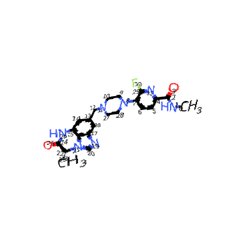 CNC(=O)c1ccc(N2CCN(Cc3cc4c5c(c3)ncn5[C@H](C)C(=O)N4)CC2)c(F)n1